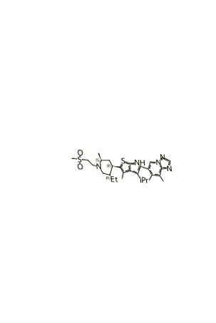 CC[C@H]1CN(CCS(C)(=O)=O)[C@@H](C)C[C@H]1c1sc2[nH]c(-c3cn4ncnc4c(C)c3C)c(C(C)C)c2c1C